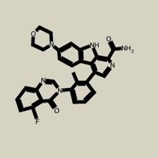 Cc1c(-c2cnc(C(N)=O)c3[nH]c4cc(N5CCOCC5)ccc4c23)cccc1-n1cnc2cccc(F)c2c1=O